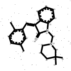 Cc1ccc(C)c(C=C2C(=O)N(CN3CCCC(C)(C)C3)c3ccccc32)c1